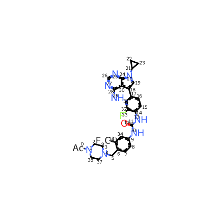 CC(=O)N1CCN(Cc2ccc(NC(=O)Nc3ccc(-c4cn(C5CC5)c5ncnc(N)c45)cc3F)cc2C(F)(F)F)CC1